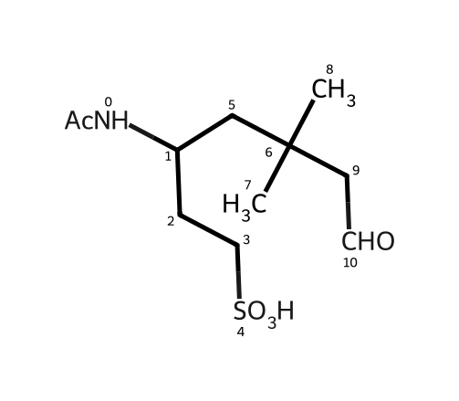 CC(=O)NC(CCS(=O)(=O)O)CC(C)(C)CC=O